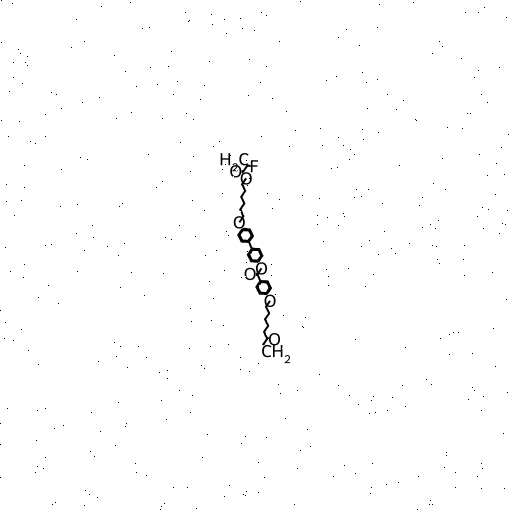 C=CC(=O)CCCCCOc1ccc(C(=O)Oc2ccc(-c3ccc(OCCCCCCOC(=O)C(=C)F)cc3)cc2)cc1